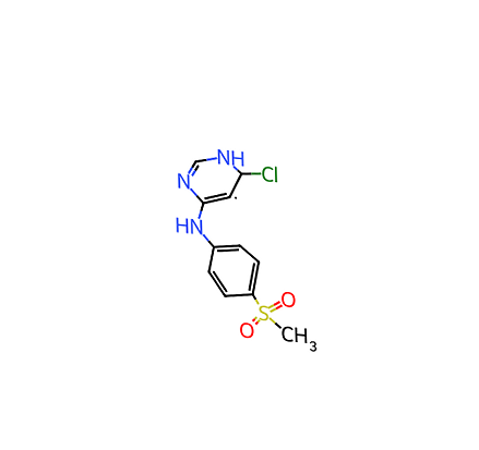 CS(=O)(=O)c1ccc(NC2=[C]C(Cl)NC=N2)cc1